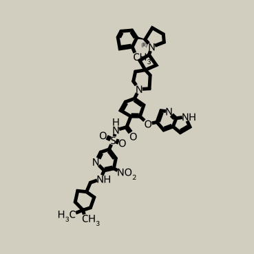 Cc1ccccc1[C@H]1CCCN1C1CC2(CCN(c3ccc(C(=O)NS(=O)(=O)c4cnc(NCC5CCC(C)(C)CC5)c([N+](=O)[O-])c4)c(Oc4cnc5[nH]ccc5c4)c3)CC2)C1